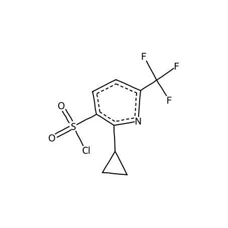 O=S(=O)(Cl)c1ccc(C(F)(F)F)nc1C1CC1